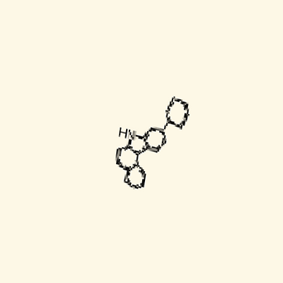 c1ccc(-c2ccc3c(c2)[nH]c2ccc4ccccc4c23)cc1